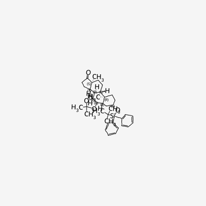 CC1(C)O[C@H]2[C@H](O1)[C@H]1C[C@@H](O[Si](c3ccccc3)(c3ccccc3)C(C)(C)C)CC[C@]1(C)[C@H]1CC[C@]3(C)C(=O)CC[C@H]3[C@H]21